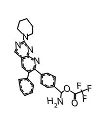 NC(OC(=O)C(F)(F)F)c1ccc(-c2nc3nc(N4CCCCC4)ncc3cc2-c2ccccc2)cc1